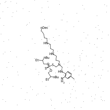 CCCCCCCCCCCCCCNCCCNCCCN(CNc1ccc(C)cc1N)CSP(=S)(OCC(CC)CCCC)OCC(CC)CCCC